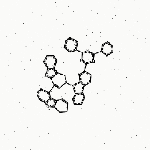 C1=Cc2c(oc3cccc(C4=CC(n5c6ccccc6c6ccc(-c7nc(-c8ccccc8)nc(-c8ccccc8)n7)cc65)Cc5c4sc4ccccc54)c23)CC1